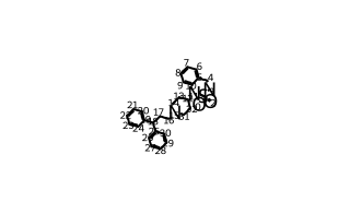 O=S1(=O)N=Cc2ccccc2N1C1CCN(CCC(c2ccccc2)c2ccccc2)CC1